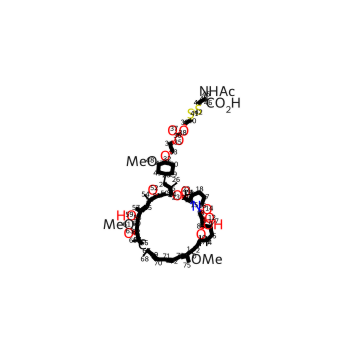 CO[C@H]1C[C@@H]2CC[C@@H](C)[C@@](O)(O2)C(=O)C(=O)N2CCCC[C@H]2C(=O)O[C@H]([C@H](C)C[C@@H]2CC[C@@H](OCCOC(=O)OCCSSC[C@H](NC(C)=O)C(=O)O)[C@H](OC)C2)CC(=O)[C@H](C)/C=C(\C)[C@@H](O)[C@@H](OC)C(=O)[C@H](C)C[C@H](C)/C=C/C=C/C=C/1C